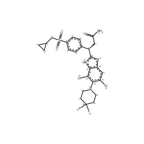 NC(=O)C[C@H](c1ccc(S(=O)(=O)CC2CC2)cc1)c1nc2cc(Cl)c(N3CCC(F)(F)CC3)c(Cl)c2[nH]1